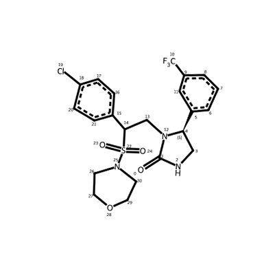 O=C1NC[C@H](c2cccc(C(F)(F)F)c2)N1CC(c1ccc(Cl)cc1)S(=O)(=O)N1CCOCC1